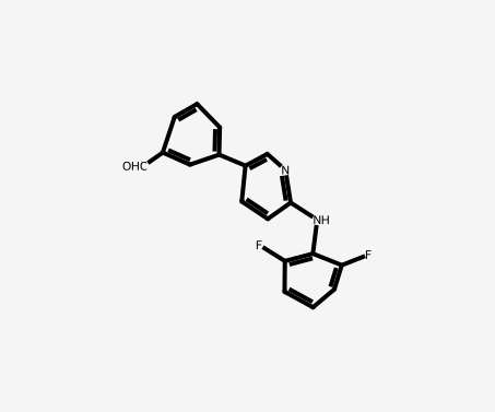 O=Cc1cccc(-c2ccc(Nc3c(F)cccc3F)nc2)c1